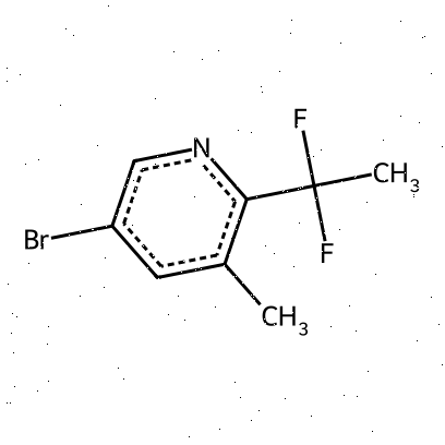 Cc1cc(Br)cnc1C(C)(F)F